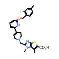 Cc1ccc(COc2cccc(C3=CCN(Cc4nc5sc(C(=O)O)c(C)c5n4C)CC3)n2)c(F)c1